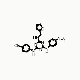 O=[N+]([O-])c1ccc(Nc2nc(NCc3ccco3)nc(Nc3ccc(Cl)cc3)n2)cc1